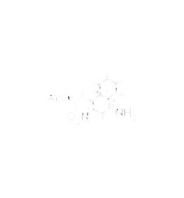 CC(=O)OCCc1c([N+](=O)[O-])cc(N)c2ccccc12